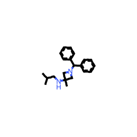 CC(C)CNC1(C)CN(C(c2ccccc2)c2ccccc2)C1